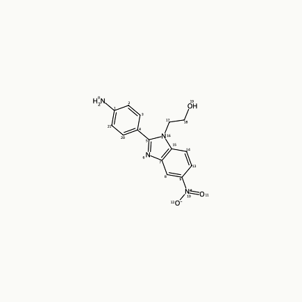 Nc1ccc(-c2nc3cc([N+](=O)[O-])ccc3n2CCO)cc1